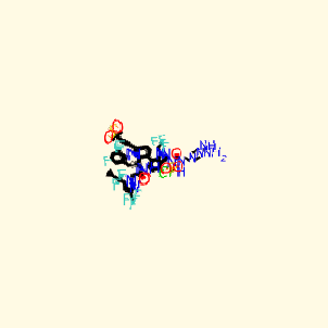 CC(C)(C#Cc1ccc(-c2ccc(Cl)c3c(N(C(=O)NCCN4CCN(C(=N)N)CC4)S(C)(=O)=O)nn(CC(F)(F)F)c23)c([C@H](Cc2cc(F)cc(F)c2)NC(=O)Cn2nc(C(F)(F)F)cc2C(F)(F)C2CC2)n1)S(C)(=O)=O